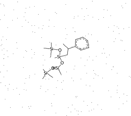 CC(C[Si](C)(O[SiH](C)O[Si](C)(C)C)O[Si](C)(C)C)c1ccccc1